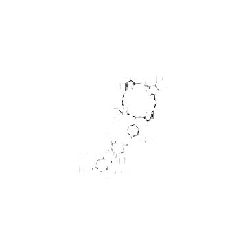 CCC1=C(CC)c2nc1cc1[nH]c(c(CC)c1CC)c(-c1ccc(O[C@@H]3O[C@H](CO)[C@H](O[C@@H]4O[C@H](CO)[C@H](O)[C@H](O)[C@H]4O)[C@H](O)[C@H]3O)c([N+](=O)[O-])c1)c1nc(cc3[nH]c(n2)c(CC)c3CC)C(CC)=C1CC